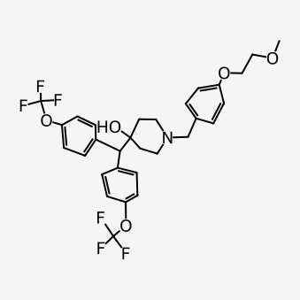 COCCOc1ccc(CN2CCC(O)(C(c3ccc(OC(F)(F)F)cc3)c3ccc(OC(F)(F)F)cc3)CC2)cc1